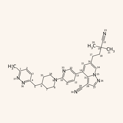 Cc1ccc(CC2CCN(c3ccc(-c4cc(CCC(C)(C)C#N)cn5ncc(C#N)c45)cn3)CC2)nn1